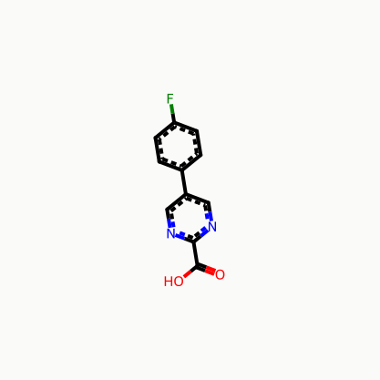 O=C(O)c1ncc(-c2ccc(F)cc2)cn1